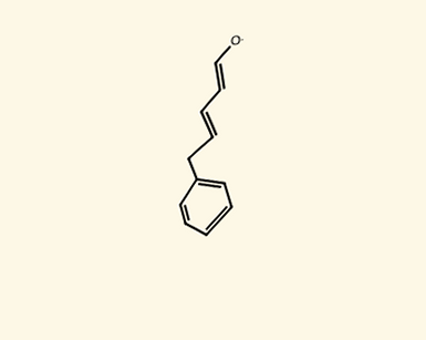 [O]/C=C/C=C/Cc1ccccc1